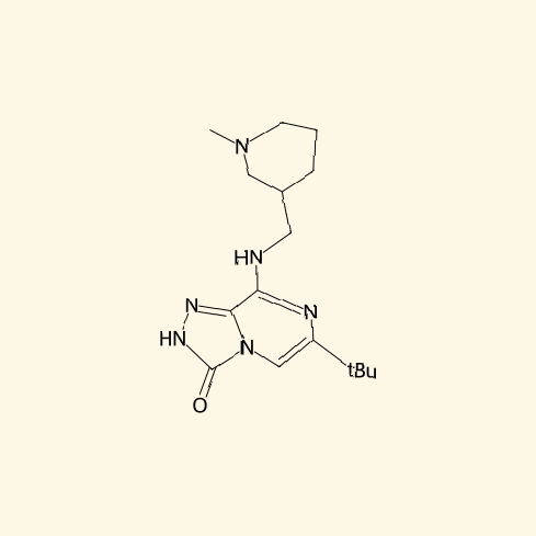 CN1CCCC(CNc2nc(C(C)(C)C)cn3c(=O)[nH]nc23)C1